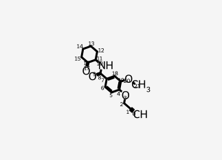 C#CCOc1ccc(C(=O)NC2CCCCC2=O)cc1OC